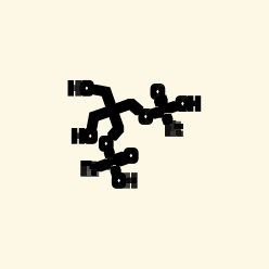 CCP(=O)(O)OCC(CO)(CO)COP(=O)(O)CC